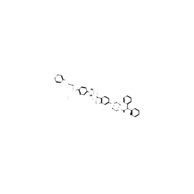 C=C(C(c1ccccc1)c1ccccc1)N1CCN(c2ccc3c(NS(=O)(=O)c4ccc(NCCSC5=CCCC=C5)c(C)c4)noc3c2)CC1